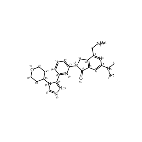 CNCc1nc(N(C)C(C)C)cc2c1CN(c1cccc(-c3nncn3C3CCOCC3)n1)C2=O